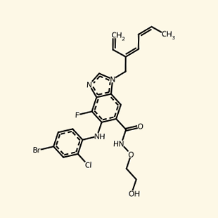 C=C/C(=C\C=C/C)Cn1cnc2c(F)c(Nc3ccc(Br)cc3Cl)c(C(=O)NOCCO)cc21